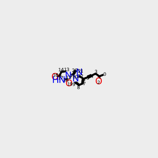 CC(=O)CC#Cc1cccn2c(N3CCC(=O)NC3=O)cnc12